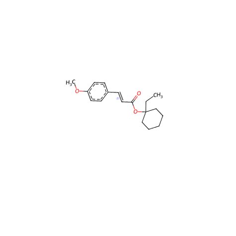 CCC1(OC(=O)/C=C/c2ccc(OC)cc2)CCCCC1